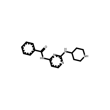 O=C(Nc1ccnc(NC2CCNCC2)n1)c1ccccc1